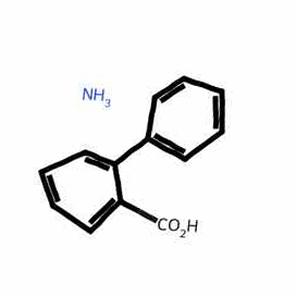 N.O=C(O)c1ccccc1-c1ccccc1